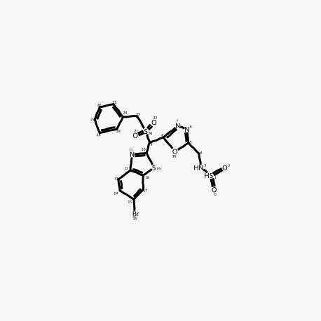 O=[SH](=O)NCc1nnc(C(c2nc3ccc(Br)cc3s2)S(=O)(=O)Cc2ccccc2)o1